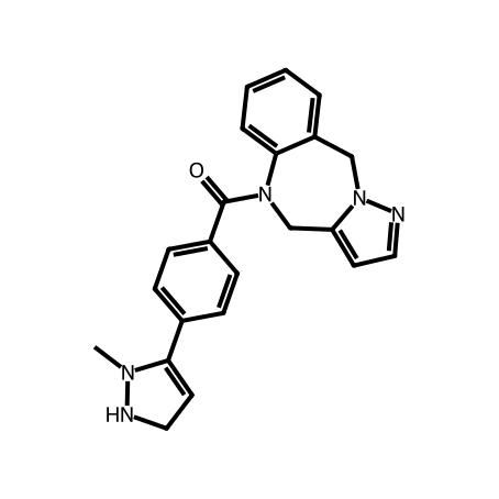 CN1NCC=C1c1ccc(C(=O)N2Cc3ccnn3Cc3ccccc32)cc1